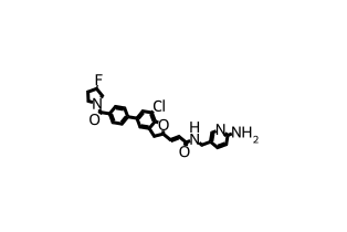 Nc1ccc(CNC(=O)/C=C/C2Cc3cc(-c4ccc(C(=O)N5CC[C@H](F)C5)cc4)cc(Cl)c3O2)cn1